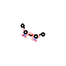 O=C(CC(=O)Oc1ccc(OCc2ccccc2)cc1[N+](=O)[O-])Oc1ccc(OCc2ccccc2)cc1[N+](=O)[O-]